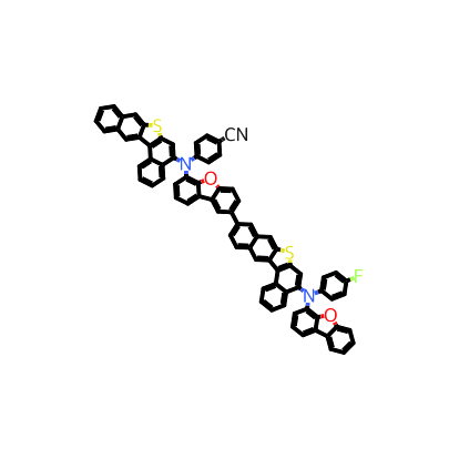 N#Cc1ccc(N(c2cc3sc4cc5ccccc5cc4c3c3ccccc23)c2cccc3c2oc2ccc(-c4ccc5cc6c(cc5c4)sc4cc(N(c5ccc(F)cc5)c5cccc7c5oc5ccccc57)c5ccccc5c46)cc23)cc1